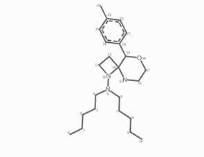 CCCCCN(CCCCC)N1CCC12[N]CCOC2c1ccc(C)cc1